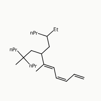 C=C/C=C\C=C(/C)C(CC(CC)CCC)CC(C)(CCC)CCC